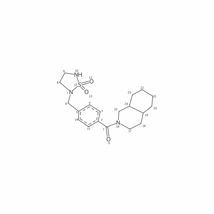 O=C(c1ccc(CN2CCNS2(=O)=O)cc1)N1CCC2CCCCC2C1